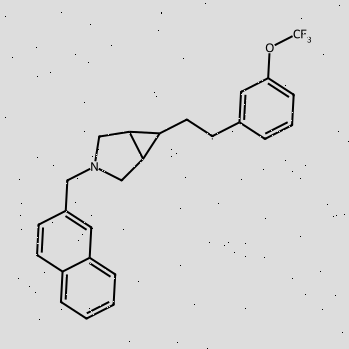 FC(F)(F)Oc1cccc([CH]CC2C3CN(Cc4ccc5ccccc5c4)CC23)c1